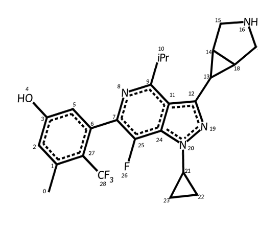 Cc1cc(O)cc(-c2nc(C(C)C)c3c(C4C5CNCC54)nn(C4CC4)c3c2F)c1C(F)(F)F